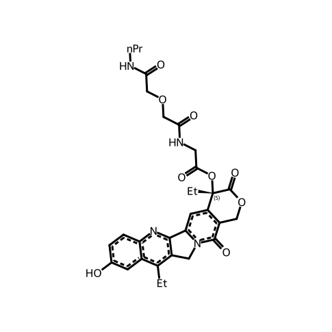 CCCNC(=O)COCC(=O)NCC(=O)O[C@]1(CC)C(=O)OCc2c1cc1n(c2=O)Cc2c-1nc1ccc(O)cc1c2CC